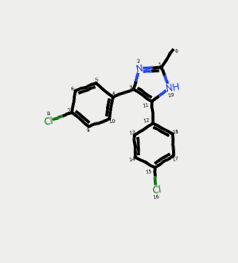 Cc1nc(-c2ccc(Cl)cc2)c(-c2ccc(Cl)cc2)[nH]1